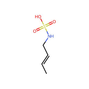 CC=CCNS(=O)(=O)O